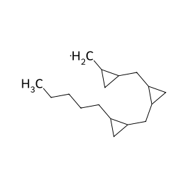 [CH2]C1CC1CC1CC1CC1CC1CCCCC